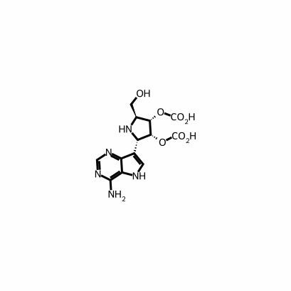 Nc1ncnc2c([C@@H]3N[C@@H](CO)[C@H](OC(=O)O)[C@@H]3OC(=O)O)c[nH]c12